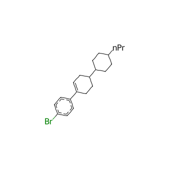 CCCC1CCC(C2CC=C(c3ccc(Br)cc3)CC2)CC1